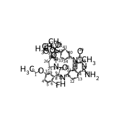 CCOc1ccc(F)c([C@@H](Nc2ccc3c(N)nccc3c2)C(=O)N2CC[C@H](C(=O)OC)[C@@H]2c2cc(NC(C)=O)ccc2S(=O)(=O)C(C)C)c1